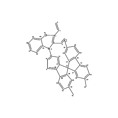 C=CC1=C(C=C)N(c2ccc3c(c2)C2(c4cc(C)ccc4-c4ccc(C)cc42)c2cc(C)ccc2-3)c2ccccc2O1